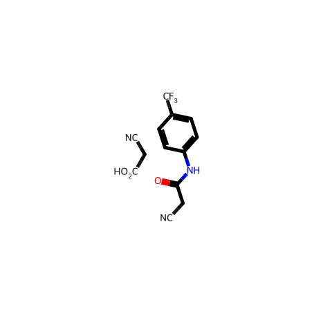 N#CCC(=O)Nc1ccc(C(F)(F)F)cc1.N#CCC(=O)O